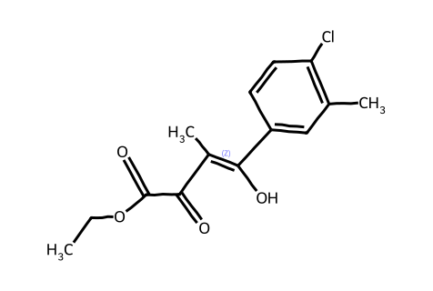 CCOC(=O)C(=O)/C(C)=C(\O)c1ccc(Cl)c(C)c1